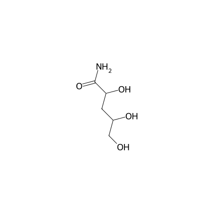 NC(=O)C(O)CC(O)CO